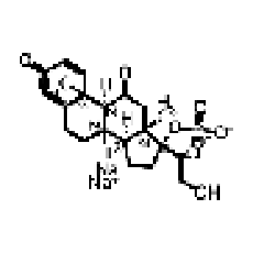 C[C@]12C=CC(=O)C=C1CC[C@@H]1[C@@H]2C(=O)C[C@@]2(C)[C@H]1CC[C@]2(OP(=O)([O-])[O-])C(=O)CO.[Na+].[Na+]